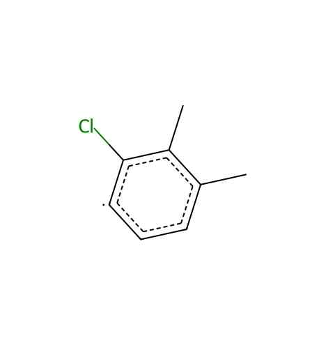 Cc1cc[c]c(Cl)c1C